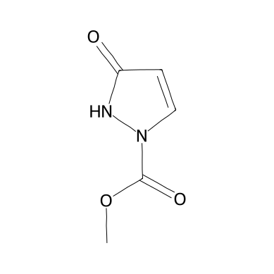 COC(=O)n1ccc(=O)[nH]1